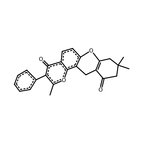 Cc1oc2c3c(ccc2c(=O)c1-c1ccccc1)OC1=C(C3)C(=O)CC(C)(C)C1